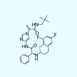 C=C(C(=O)NCC(C)(C)C)n1cnc(NC(=O)[C@@H](NC2CCc3cc(F)cc(F)c3C2)c2ccccc2)c1